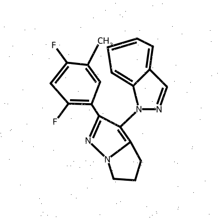 Cc1cc(-c2nn3c(c2-n2ncc4ccccc42)CCC3)c(F)cc1F